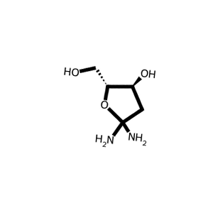 NC1(N)C[C@H](O)[C@@H](CO)O1